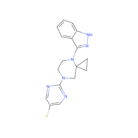 Fc1cnc(N2CCN(c3n[nH]c4ccccc34)C3(CC3)C2)nc1